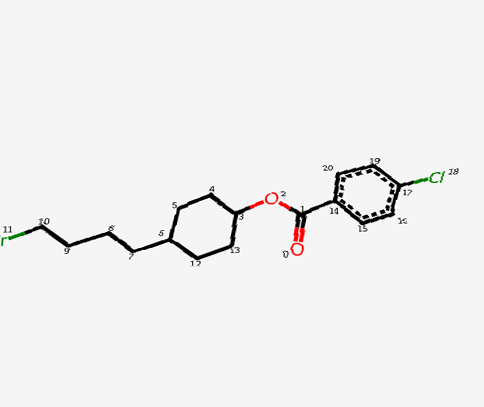 O=C(OC1CCC(CCCCBr)CC1)c1ccc(Cl)cc1